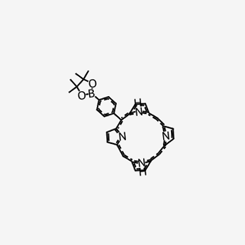 CC1(C)OB(c2ccc(-c3c4nc(cc5ccc(cc6nc(cc7ccc3[nH]7)C=C6)[nH]5)C=C4)cc2)OC1(C)C